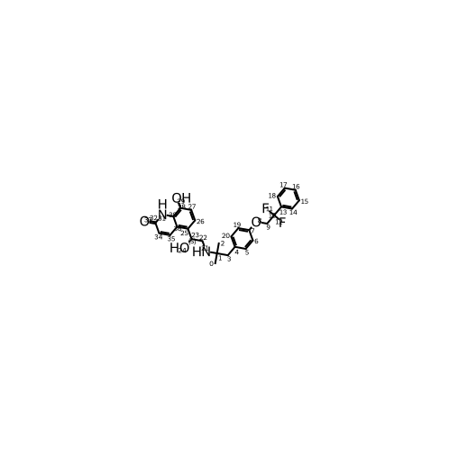 CC(C)(Cc1ccc(OCC(F)(F)c2ccccc2)cc1)NC[C@@H](O)c1ccc(O)c2[nH]c(=O)ccc12